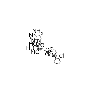 C[C@@]1(O)[C@H](O)[C@@H](CO[P@@]2(=O)OCC[C@@H](c3ccccc3Cl)O2)O[C@H]1n1ccc2c(N)ncnc21